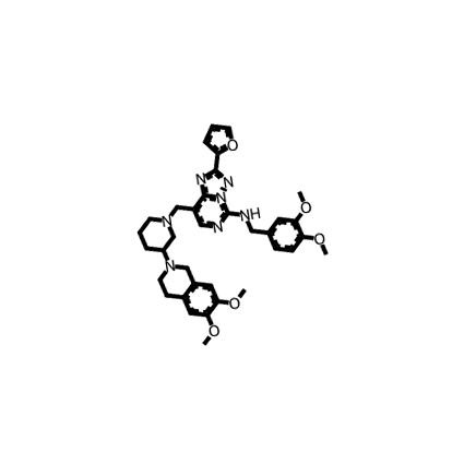 COc1ccc(CNc2ncc(CN3CCCC(N4CCc5cc(OC)c(OC)cc5C4)C3)c3nc(-c4ccco4)nn23)cc1OC